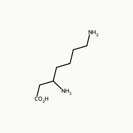 NCCCCC(N)CC(=O)O